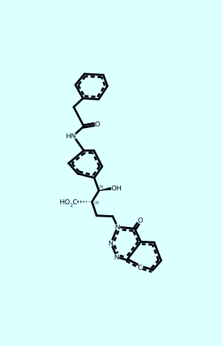 O=C(Cc1ccccc1)Nc1ccc([C@@H](O)[C@H](CCn2nnc3ccccc3c2=O)C(=O)O)cc1